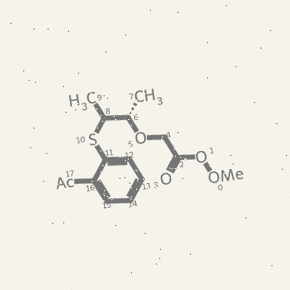 COOC(=O)CO[C@@H](C)C(C)Sc1ccccc1C(C)=O